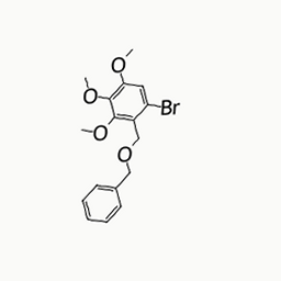 COc1cc(Br)c(COCc2ccccc2)c(OC)c1OC